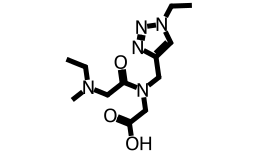 CCN(C)CC(=O)N(CC(=O)O)Cc1cn(CC)nn1